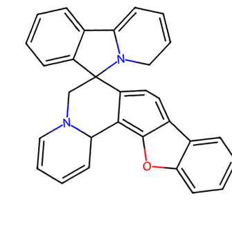 C1=CCN2C(=C1)c1ccccc1C21CN2C=CC=CC2c2c1ccc1c2oc2ccccc21